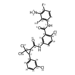 Nc1c(F)ccc(NC(=O)c2cc(NC(=O)C3C(c4cccc(Cl)c4)C3(Cl)Cl)ccc2Cl)c1F